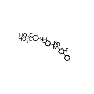 O=C(O)C1(C(=O)O)CCC(NCc2ccc(-c3noc(-c4ccc(-c5ccccc5)c(F)c4)n3)cc2)CC1